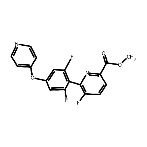 COC(=O)c1ccc(F)c(-c2c(F)cc(Oc3ccncc3)cc2F)n1